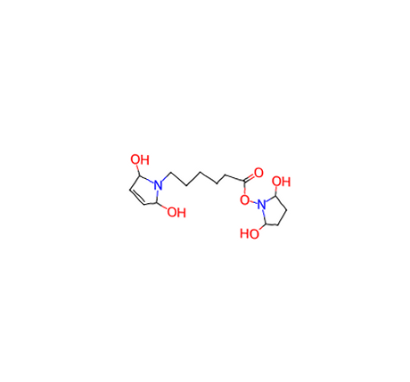 O=C(CCCCCN1C(O)C=CC1O)ON1C(O)CCC1O